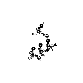 Nc1nc(OCC2CC2)c2nc(-c3ccc(F)cc3)cnc2n1.Nc1nc(OCC2CCC2)c2nc(-c3ccc(F)cc3)cnc2n1.Nc1nc(OCCCN2CCOCC2)c2nc(-c3ccc(F)cc3)cnc2n1.Nc1nc(OCCN2CCOCC2)c2nc(-c3ccc(F)cc3)cnc2n1